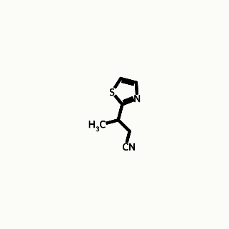 CC(CC#N)c1nccs1